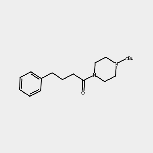 CC(C)(C)N1CCN(C(=O)CCCc2ccccc2)CC1